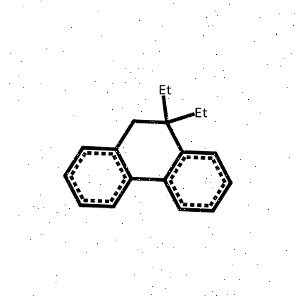 CCC1(CC)Cc2ccccc2-c2ccccc21